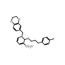 O=C(O)C1=CC=CN(Cc2ccc3c(c2)OCCO3)C1SCCCc1ccc(F)cc1